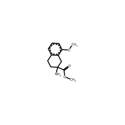 COC(=O)C1(N)CCc2cccc(OC)c2C1